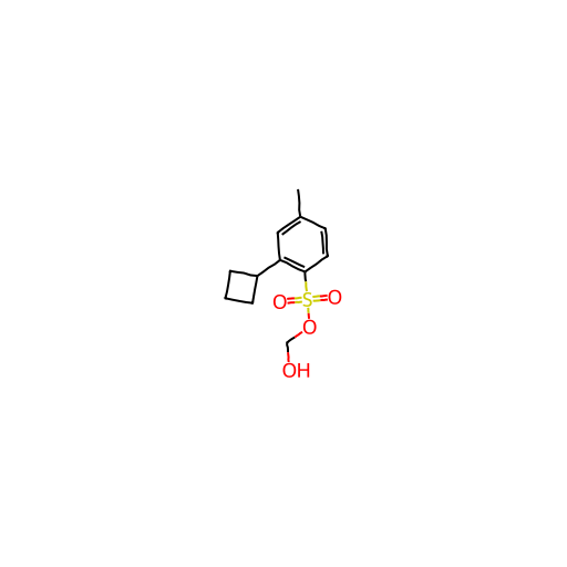 Cc1ccc(S(=O)(=O)OCO)c(C2CCC2)c1